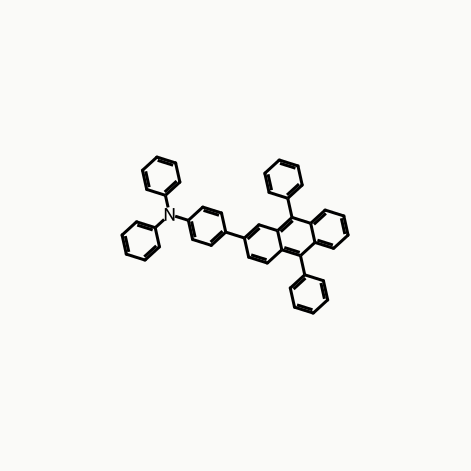 c1ccc(-c2c3ccccc3c(-c3ccccc3)c3cc(-c4ccc(N(c5ccccc5)c5ccccc5)cc4)ccc23)cc1